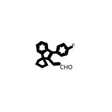 O=C/C=C/C1=C(c2ccc(F)cc2)c2ccccc2C12CCCC2